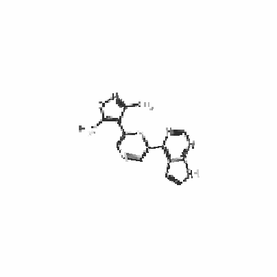 Cc1noc(C)c1C1=CN=CC(c2ncnc3[nH]ccc23)S1